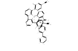 Cc1cc(C#N)ccc1-c1cccc2c3cccc(-c4ccc(C#N)cc4C)c3n(-c3cccc4c3C(=O)N(c3ccc(-c5ccccc5)cc3)C4=O)c12